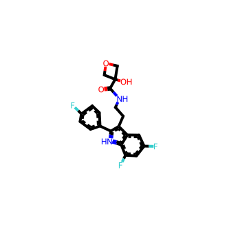 O=C(NCCc1c(-c2ccc(F)cc2)[nH]c2c(F)cc(F)cc12)C1(O)COC1